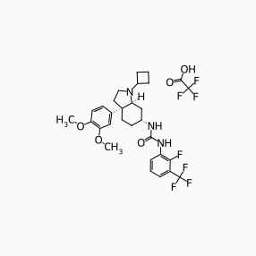 COc1ccc([C@@]23CC[C@@H](NC(=O)Nc4cccc(C(F)(F)F)c4F)C[C@@H]2N(C2CCC2)CC3)cc1OC.O=C(O)C(F)(F)F